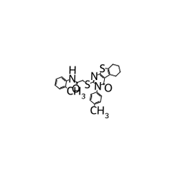 Cc1ccc(-n2c(SCC(=O)Nc3ccccc3C)nc3sc4c(c3c2=O)CCCC4)cc1